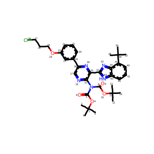 CC(C)(C)OC(=O)N(C(=O)OC(C)(C)C)c1ncc(-c2cccc(OCCCCl)c2)nc1-c1nc2c(C(C)(C)C)cccc2[nH]1